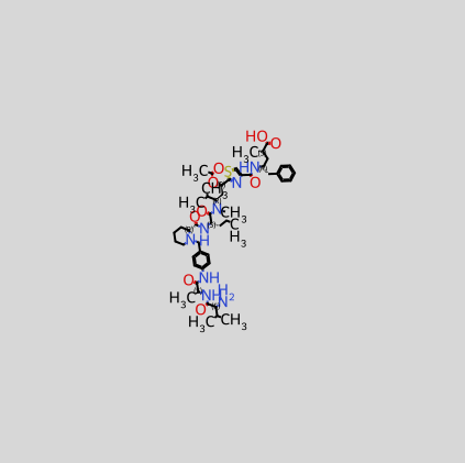 CCC[C@H](NC(=O)[C@H]1CCCCN1Cc1ccc(NC(=O)[C@H](C)NC(=O)[C@@H](N)C(C)C)cc1)C(=O)N(C)[C@H](C[C@@H](OC(C)=O)c1nc(C(=O)N[C@@H](Cc2ccccc2)C[C@H](C)C(=O)O)cs1)C(C)C